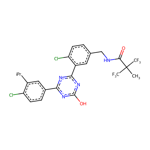 CC(C)c1cc(-c2nc(O)nc(-c3cc(CNC(=O)C(C)(C(F)(F)F)C(F)(F)F)ccc3Cl)n2)ccc1Cl